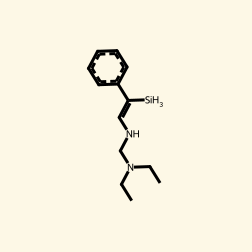 CCN(CC)CNC=C([SiH3])c1ccccc1